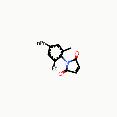 CCCc1cc(C)c(N2C(=O)C=CC2=O)c(CC)c1